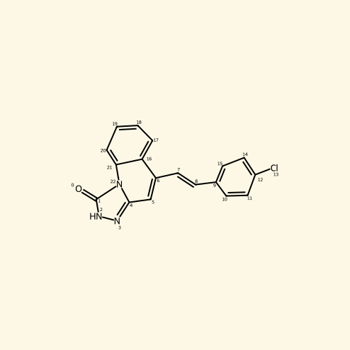 O=c1[nH]nc2cc(C=Cc3ccc(Cl)cc3)c3ccccc3n12